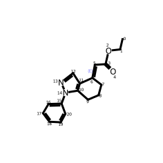 CCOC(=O)/C=C1\CCCc2c1cnn2-c1ccccc1